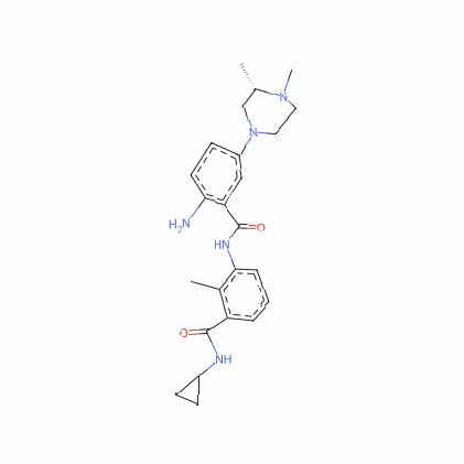 Cc1c(NC(=O)c2cc(N3CCN(C)[C@@H](C)C3)ccc2N)cccc1C(=O)NC1CC1